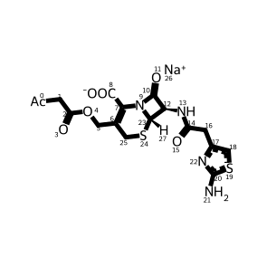 CC(=O)CC(=O)OCC1=C(C(=O)[O-])N2C(=O)[C@@H](NC(=O)Cc3csc(N)n3)[C@@H]2SC1.[Na+]